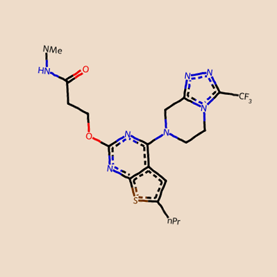 CCCc1cc2c(N3CCn4c(nnc4C(F)(F)F)C3)nc(OCCC(=O)NNC)nc2s1